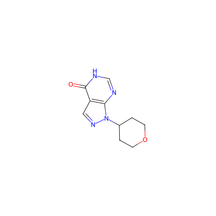 O=c1[nH]cnc2c1cnn2C1CCOCC1